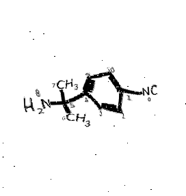 [C-]#[N+]c1ccc(C(C)(C)N)cc1